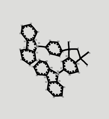 CC1(C)CC(C)(c2ccc(-n3c4ccccc4c4ccccc43)cc2)c2cc(-n3c4ccccc4c4ccccc43)ccc21